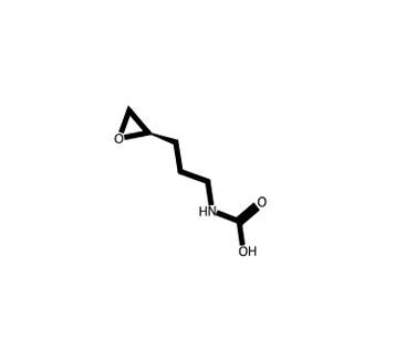 O=C(O)NCCC[C@@H]1CO1